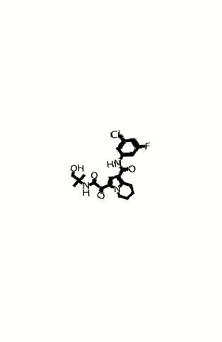 CC(C)(CO)NC(=O)C(=O)c1cc(C(=O)Nc2cc(F)cc(Cl)c2)c2n1CCCC2